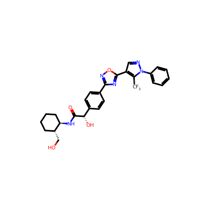 O=C(N[C@@H]1CCCC[C@H]1CO)[C@@H](O)c1ccc(-c2noc(-c3cnn(-c4ccccc4)c3C(F)(F)F)n2)cc1